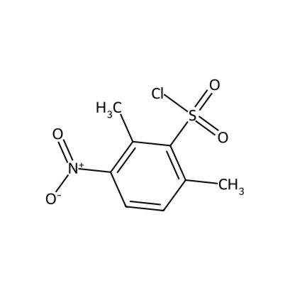 Cc1ccc([N+](=O)[O-])c(C)c1S(=O)(=O)Cl